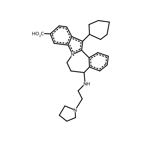 O=C(O)c1ccc2c(C3CCCCC3)c3n(c2c1)CCC(NCCN1CCCC1)c1ccccc1-3